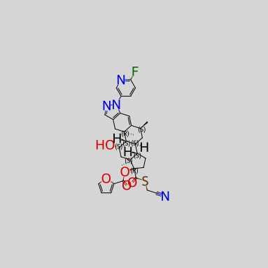 C[C@H]1C[C@@H]2[C@H]([C@@H](O)C[C@@]3(C)[C@H]2CC[C@]3(OC(=O)c2ccco2)C(=O)SCC#N)[C@@]2(C)Cc3cnn(-c4ccc(F)nc4)c3C=C12